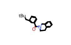 CC(C)(C)Cc1cccc(C(=O)N2CCc3ccccc3C2)c1